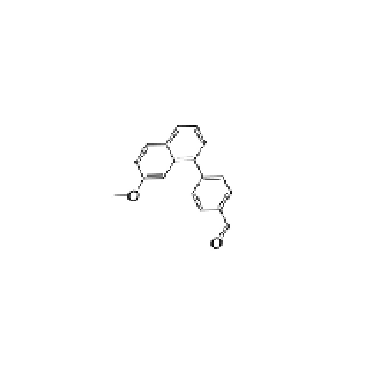 COc1ccc2cccc(-c3ccc(C=O)cc3)c2c1